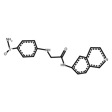 N[S+]([O-])c1ccc(NCC(=O)Nc2ccc3cnccc3c2)cc1